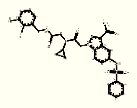 NC(=O)c1nn(CC(=O)N(CC(=O)NCc2cccc(Cl)c2F)C2CC2)c2ccc(NS(=O)(=O)c3ccccc3)cc12